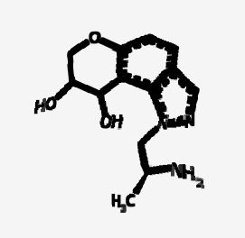 C[C@H](N)Cn1ncc2ccc3c(c21)C(O)C(O)CO3